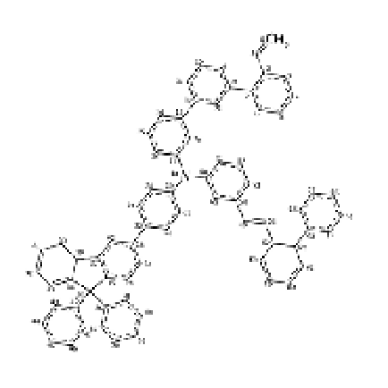 C=Cc1ccccc1-c1cccc(-c2cccc(N(c3ccc(-c4ccc5c(c4)C4CC=CC=C4C5(c4ccccc4)c4ccccc4)cc3)c3cccc(/C=C/C4C=CC=CC4c4ccccc4)c3)c2)c1